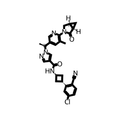 Cc1cc([C@H](C)n2cc(C(=O)N[C@H]3C[C@@H](c4cc(Cl)ccc4C#N)C3)cn2)cnc1N1C[C@H]2C[C@H]2C1=O